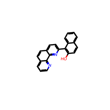 Oc1ccc2ccccc2c1-c1ccc2ccc3cccnc3c2n1